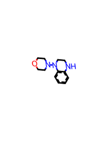 c1ccc2c(c1)NCCN2N1CCOCC1